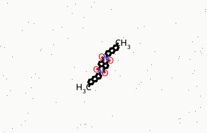 Cc1ccc2cc3cc(N4C(=O)c5ccc6c7c(ccc(c57)C4=O)C(=O)N(c4ccc5cc7cc(C)ccc7cc5c4)C6=O)ccc3cc2c1